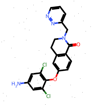 Nc1cc(Cl)c(Oc2ccc3c(c2)CCN(Cc2cccnn2)C3=O)c(Cl)c1